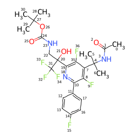 CC(=O)NC(C)(C)c1c(F)c(-c2ccc(F)cc2)nc(C(O)(CNC(=O)OC(C)(C)C)C(F)(F)F)c1F